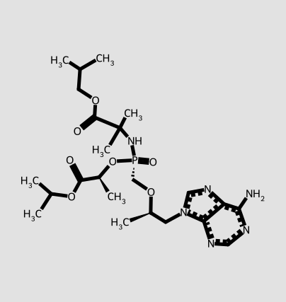 CC(C)COC(=O)C(C)(C)N[P@](=O)(CO[C@H](C)Cn1cnc2c(N)ncnc21)O[C@@H](C)C(=O)OC(C)C